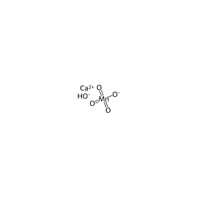 [Ca+2].[OH-].[O]=[Mn](=[O])(=[O])[O-]